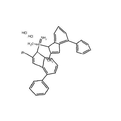 CC1=Cc2c(-c3ccccc3)cccc2[CH]1[Hf]([CH3])(=[SiH2])[CH]1C(C(C)C)=Cc2c(-c3ccccc3)cccc21.Cl.Cl